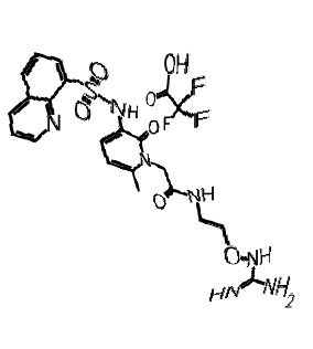 Cc1ccc(NS(=O)(=O)c2cccc3cccnc23)c(=O)n1CC(=O)NCCONC(=N)N.O=C(O)C(F)(F)F